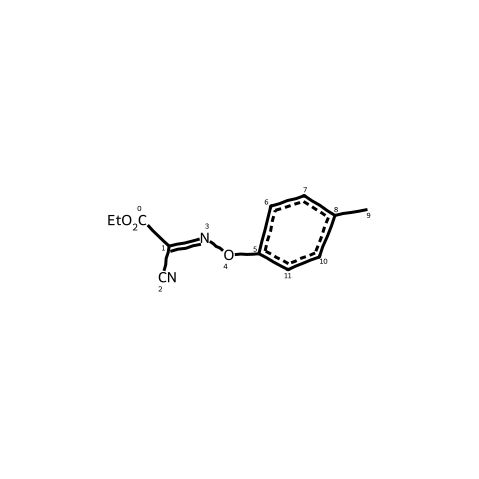 CCOC(=O)C(C#N)=NOc1ccc(C)cc1